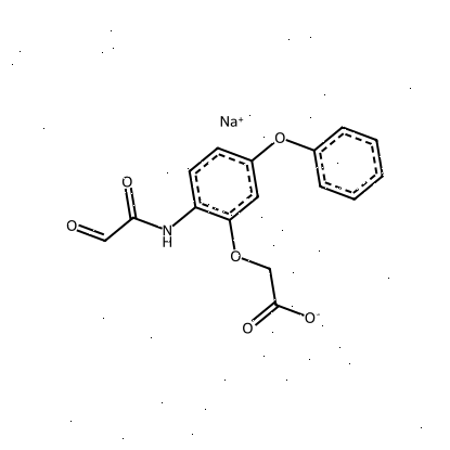 O=CC(=O)Nc1ccc(Oc2ccccc2)cc1OCC(=O)[O-].[Na+]